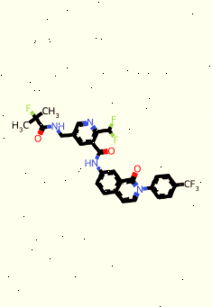 CC(C)(F)C(=O)NCc1cnc(C(F)F)c(C(=O)Nc2ccc3ccn(-c4ccc(C(F)(F)F)cc4)c(=O)c3c2)c1